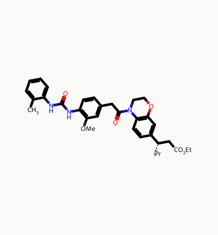 CCOC(=O)C[C@@H](c1ccc2c(c1)OCCN2C(=O)Cc1ccc(NC(=O)Nc2ccccc2C)c(OC)c1)C(C)C